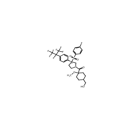 COC1(C(=O)N2CC[C@](c3ccc(C(F)(C(F)(F)F)C(F)(F)F)cc3)(S(=O)(=O)c3ccc(F)cc3)C2)CCC(CO)CC1